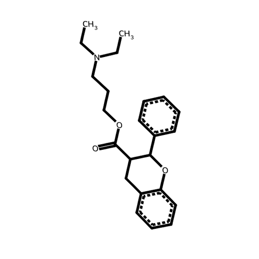 CCN(CC)CCCOC(=O)C1Cc2ccccc2OC1c1ccccc1